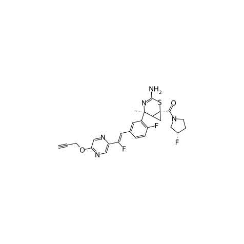 C#CCOc1cnc(/C(F)=C/c2ccc(F)c([C@@]3(C)N=C(N)S[C@@]4(C(=O)N5CC[C@H](F)C5)CC43)c2)cn1